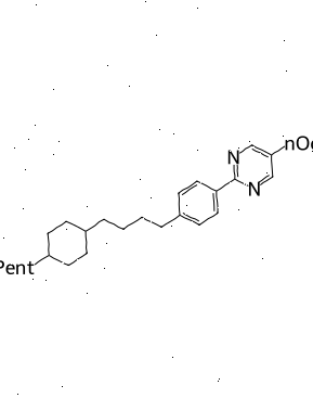 CCCCCCCCc1cnc(-c2ccc(CCCCC3CCC(CCCCC)CC3)cc2)nc1